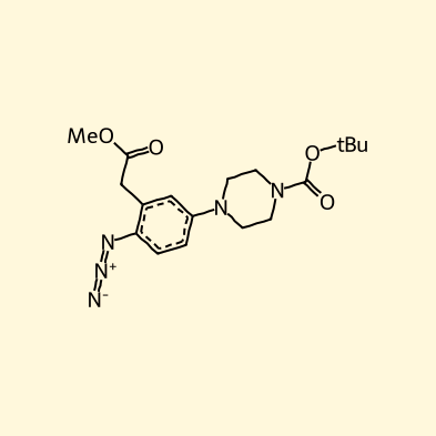 COC(=O)Cc1cc(N2CCN(C(=O)OC(C)(C)C)CC2)ccc1N=[N+]=[N-]